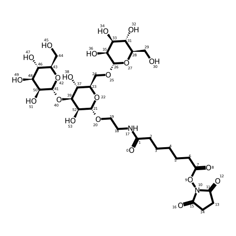 O=C(CCCCCC(=O)ON1C(=O)CCC1=O)NCCO[C@H]1O[C@H](CO[C@H]2O[C@H](CO)[C@@H](O)[C@H](O)[C@@H]2O)[C@@H](O)[C@H](O[C@H]2O[C@H](CO)[C@@H](O)[C@H](O)[C@@H]2O)[C@@H]1O